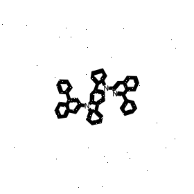 c1ccc(-c2cc(-n3c4ccccc4c4cc5c(cc43)c3ccccc3n5-c3cc4ccccc4c(-c4ccccc4)n3)cc3ccccc23)cc1